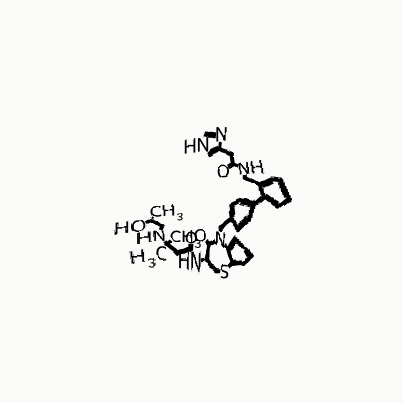 C[C@@H](O)CNC(C)(C)CC(=O)N[C@@H]1CSc2ccccc2N(Cc2ccc(-c3ccccc3CNC(=O)Cc3c[nH]cn3)cc2)C1=O